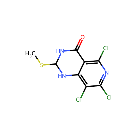 CSC1NC(=O)c2c(Cl)nc(Cl)c(Cl)c2N1